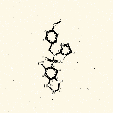 COc1ccc(CN(c2nccs2)S(=O)(=O)c2cc3c(cc2Cl)NCCO3)cc1